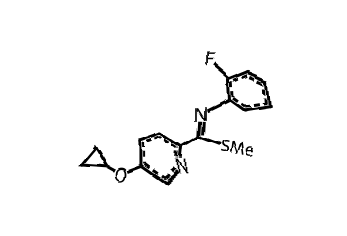 CS/C(=N\c1ccccc1F)c1ccc(OC2CC2)cn1